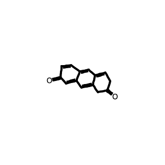 O=C1C=Cc2cc3c(cc2=C1)CC(=O)CC=3